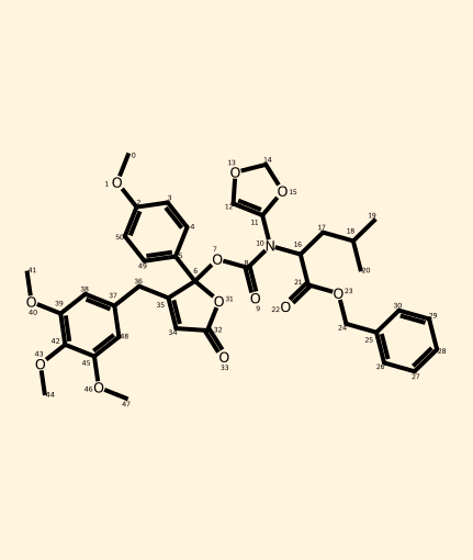 COc1ccc(C2(OC(=O)N(C3=COCO3)C(CC(C)C)C(=O)OCc3ccccc3)OC(=O)C=C2Cc2cc(OC)c(OC)c(OC)c2)cc1